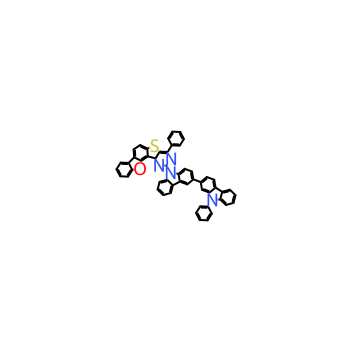 c1ccc(-c2nc(-n3c4ccccc4c4cc(-c5ccc6c7ccccc7n(-c7ccccc7)c6c5)ccc43)nc3c2sc2ccc4c5ccccc5oc4c23)cc1